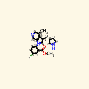 COC(=O)c1cc(F)ccc1-n1cc(C[C@@H]2CCNC2)c2c(C)cncc21